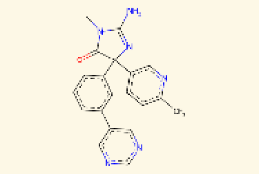 CN1C(=O)C(c2ccc(C(F)(F)F)nc2)(c2cccc(-c3cncnc3)c2)N=C1N